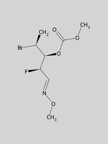 [CH2][C@H](Br)[C@@H](OC(=O)OC)[C@H](F)/C=N/OC